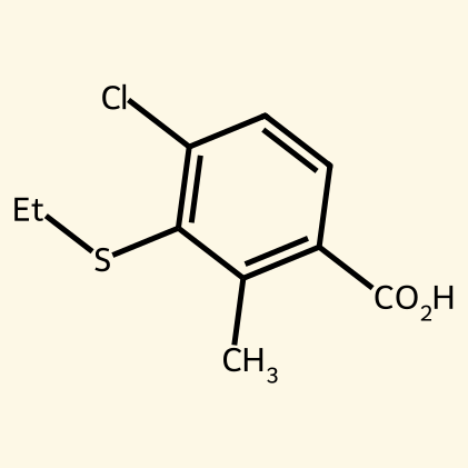 CCSc1c(Cl)ccc(C(=O)O)c1C